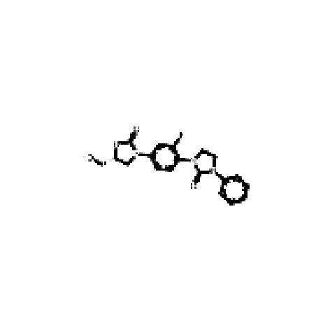 O=C1O[C@@H](CO)CN1c1ccc(N2CCN(c3ccccc3)C2=O)c(F)c1